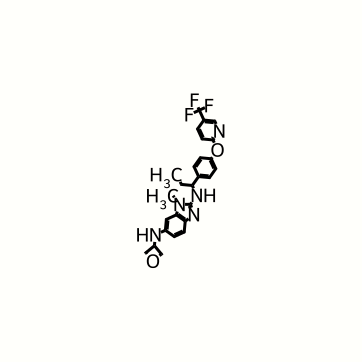 CCC(Nc1nc2ccc(NC3COC3)cc2n1C)c1ccc(Oc2ccc(C(F)(F)F)cn2)cc1